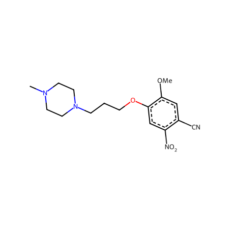 COc1cc(C#N)c([N+](=O)[O-])cc1OCCCN1CCN(C)CC1